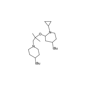 CC(C)(CN1CCC(C(C)(C)C)CC1)OC1CC(C(C)(C)C)CCN1C1CC1